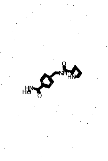 O=C(NO)c1ccc(CNC(=O)c2ccc[nH]2)cc1